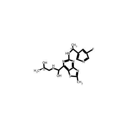 Cc1nc2nc(N[C@@H](C)c3cncc(F)c3)nc(C(O)NC[C@@H](C)O)c2s1